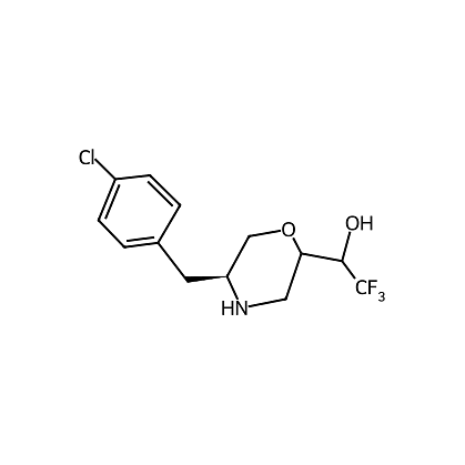 OC(C1CN[C@@H](Cc2ccc(Cl)cc2)CO1)C(F)(F)F